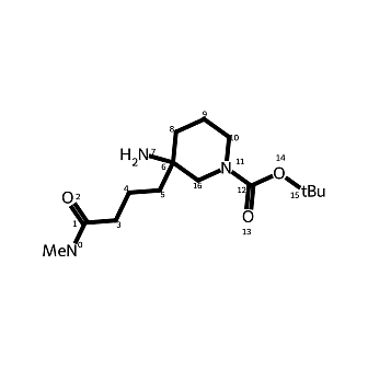 CNC(=O)CCCC1(N)CCCN(C(=O)OC(C)(C)C)C1